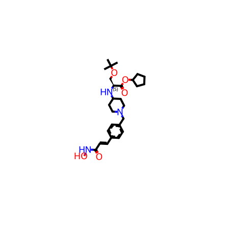 CC(C)(C)OC[C@H](NC1CCN(Cc2ccc(C=CC(=O)NO)cc2)CC1)C(=O)OC1CCCC1